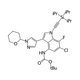 CC(C)[Si](C#Cn1cc(-c2cnn(C3CCCCO3)c2)c2c(NC(=O)OC(C)(C)C)cc(Cl)c(F)c21)(C(C)C)C(C)C